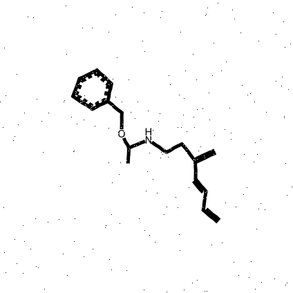 C=CC=CC(=C)CCNC(C)OCc1ccccc1